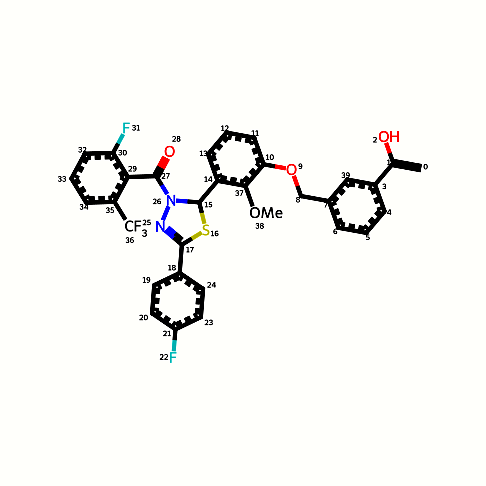 C=C(O)c1cccc(COc2cccc(C3SC(c4ccc(F)cc4)=NN3C(=O)c3c(F)cccc3C(F)(F)F)c2OC)c1